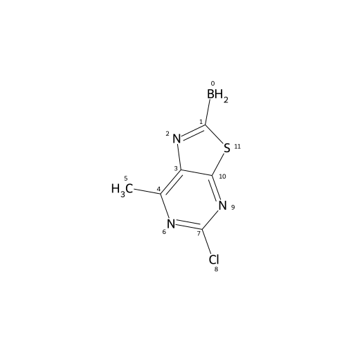 Bc1nc2c(C)nc(Cl)nc2s1